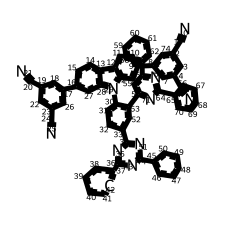 N#Cc1cc(C#N)cc(-c2ccc3c4ccc(-c5cc(C#N)cc(C#N)c5)cc4n(-c4ccc(-c5nc(-c6ccccc6)nc(-c6ccccc6)n5)cc4-c4cc(-c5ccccc5)nc(-c5ccccc5)n4)c3c2)c1